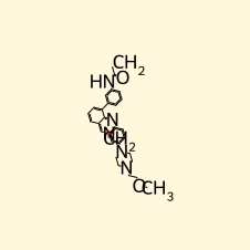 C=CC(=O)Nc1cccc(C2=CC=CC(=C/N=C)/C2=N\c2ccc(N3CCN(CCOC)CC3)cc2)c1